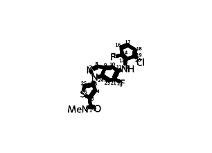 CNC(=O)c1cc(-n2ncc3cc(Nc4c(F)cccc4Cl)c(F)cc32)cs1